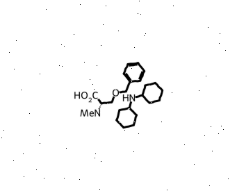 C1CCC(NC2CCCCC2)CC1.CN[C@@H](COCc1ccccc1)C(=O)O